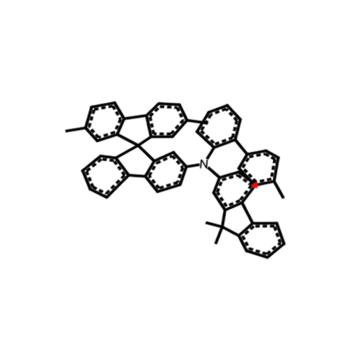 Cc1ccc(-c2ccccc2N(c2ccc3c(c2)C(C)(C)c2ccccc2-3)c2ccc3c(c2)C2(c4ccccc4-3)c3cc(C)ccc3-c3ccc(C)cc32)cc1